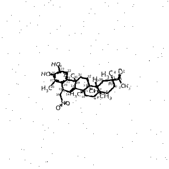 CC(=O)[C@]1(C)CC[C@]2(C)CC[C@]3(C)C4=C[C@@H](C[N+](=O)[O-])c5c(cc(O)c(O)c5C)[C@]4(C)CC[C@@]3(C)[C@@H]2C1